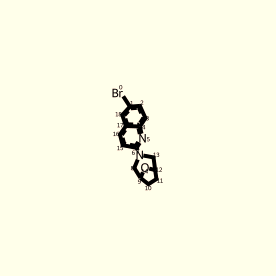 Brc1ccc2nc(N3CC4CCC(C3)O4)ccc2c1